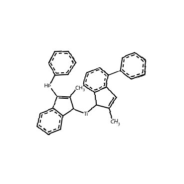 CC1=Cc2c(-c3ccccc3)cccc2[CH]1[Ti][CH]1C(C)=C(Pc2ccccc2)c2ccccc21